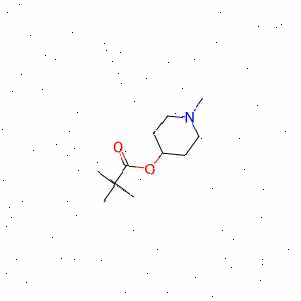 CN1CCC(OC(=O)C(C)(C)C)CC1